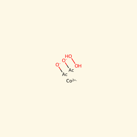 CC(=O)[O-].CC(=O)[O-].OO.[Co+2]